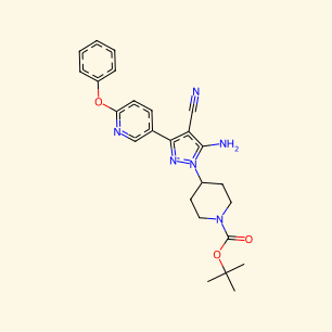 CC(C)(C)OC(=O)N1CCC(n2nc(-c3ccc(Oc4ccccc4)nc3)c(C#N)c2N)CC1